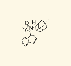 CC1(C)C(=O)N([C@H]2C3CC4CC2C[C@](C)(C4)C3)C1c1cccc2ccccc12